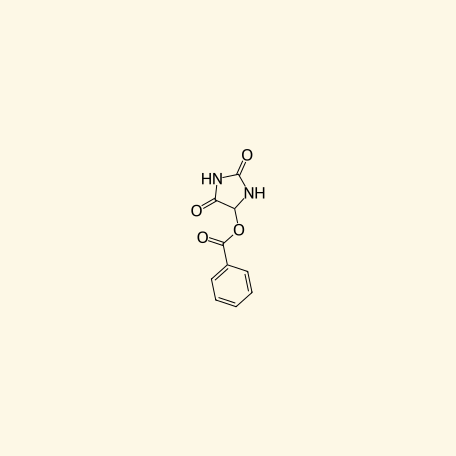 O=C1NC(=O)C(OC(=O)c2ccccc2)N1